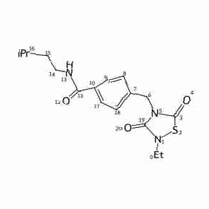 CCn1sc(=O)n(Cc2ccc(C(=O)NCCC(C)C)cc2)c1=O